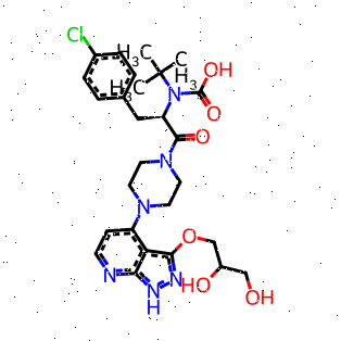 CC(C)(C)N(C(=O)O)[C@H](Cc1ccc(Cl)cc1)C(=O)N1CCN(c2ccnc3[nH]nc(OCC(O)CO)c23)CC1